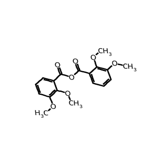 COc1cccc(C(=O)OC(=O)c2cccc(OC)c2OC)c1OC